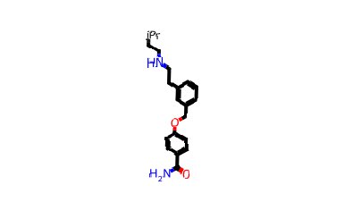 CC(C)CCNCCc1cccc(COc2ccc(C(N)=O)cc2)c1